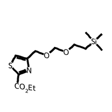 CCOC(=O)c1nc(COCOCC[Si](C)(C)C)cs1